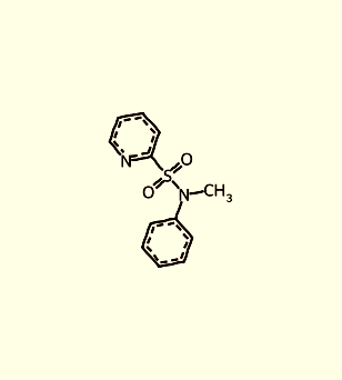 CN(c1ccccc1)S(=O)(=O)c1ccccn1